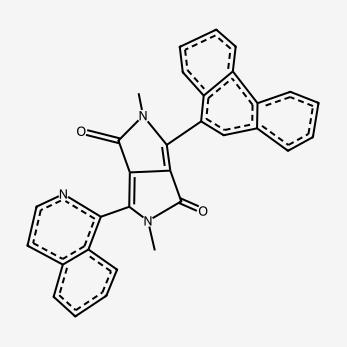 CN1C(=O)C2=C(c3cc4ccccc4c4ccccc34)N(C)C(=O)C2=C1c1nccc2ccccc12